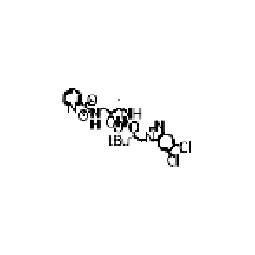 C[C@H](NC(=O)O[C@H](Cn1cnc2cc(Cl)c(Cl)cc21)C(C)(C)C)[C@H](O)CNS(=O)(=O)c1ccccn1